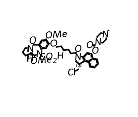 COc1cc2c(cc1OCCCCCC(=O)N1C[C@@H](CCl)c3c1cc(OC(=O)N1CCN(C)CC1)c1ccccc31)N(C(=O)O)C(OC)[C@@H]1CCCN1C2=O